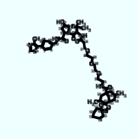 Cc1ncsc1-c1ccc(CNC(=O)C2CC(O)CN2C(=O)C(NC(=O)CCOCCOCCOCCNC(=O)C23CC(C)CC(C2)C2(OOC4(CCCCC4)O2)C(C)C3)C(C)(C)C)cc1